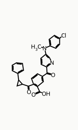 CN(c1ccc(Cl)cc1)c1ccc(C(=O)c2ccc(C(=O)C3CC3c3ccccc3)c(C(=O)O)c2)nc1